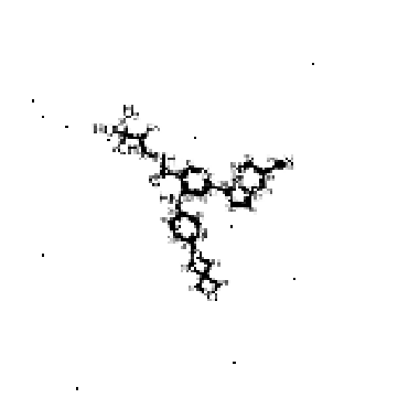 CC(C)(O)C(F)CNC(=O)c1cnc(-c2ccc3cc(C#N)cnn23)cc1Nc1ccc(N2CC3(COC3)C2)nc1